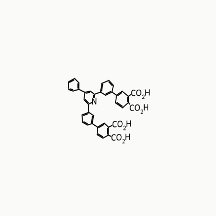 O=C(O)c1ccc(-c2cccc(-c3cc(-c4ccccc4)cc(-c4cccc(-c5ccc(C(=O)O)c(C(=O)O)c5)c4)n3)c2)cc1C(=O)O